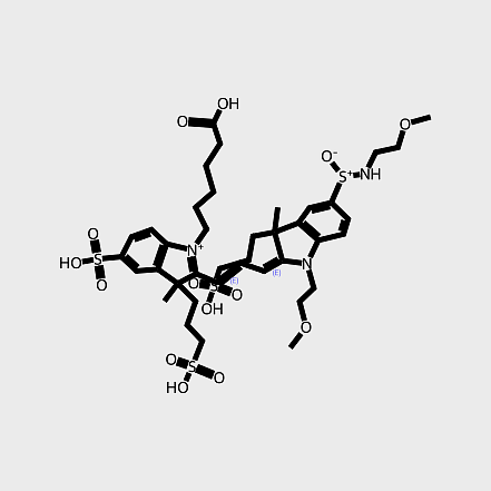 COCCN[S+]([O-])c1ccc2c(c1)C(C)(CCCS(=O)(=O)O)/C(=C\C=C\C1=[N+](CCCCCC(=O)O)c3ccc(S(=O)(=O)O)cc3C1(C)CCCS(=O)(=O)O)N2CCOC